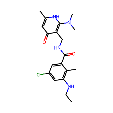 CCNc1cc(Cl)cc(C(=O)NCc2c(N(C)C)[nH]c(C)cc2=O)c1C